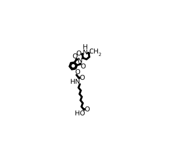 C=C1CCC(N2C(=O)c3cccc(OCC(=O)NCCCCCCCCC(=O)O)c3C2=O)C(=O)N1